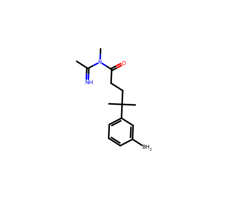 Bc1cccc(C(C)(C)CCC(=O)N(C)C(C)=N)c1